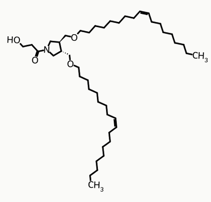 CCCCCCCC/C=C\CCCCCCCCOC[C@@H]1CN(C(=O)CCO)C[C@H]1COCCCCCCCC/C=C\CCCCCCCC